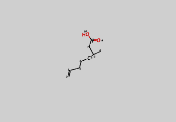 C=CCCCC(C)CC(=O)O